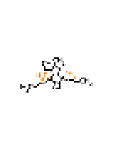 CCCCC(P)(CCCC)C1CCC1C(P)(CCCC)CCCC